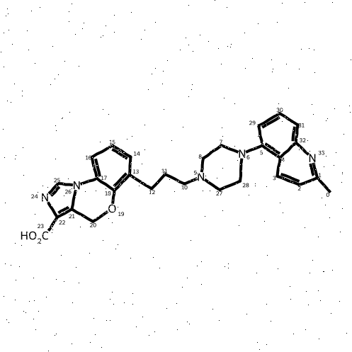 Cc1ccc2c(N3CCN(CCCc4cccc5c4OCc4c(C(=O)O)ncn4-5)CC3)cccc2n1